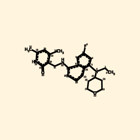 CCN(c1cc(F)cc2c(NCc3c(C)cc(C)[nH]c3=O)nccc12)C1CCOCC1